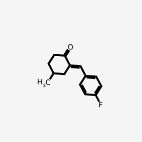 CC1CCC(=O)C(=Cc2ccc(F)cc2)C1